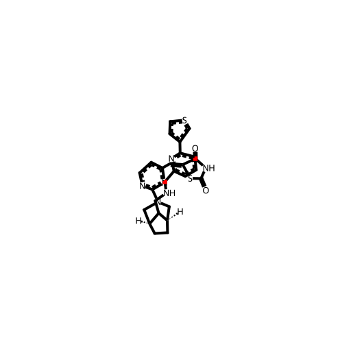 O=C1NC(=O)C(=Cc2ccnc(N3C[C@H]4CC[C@@H](C3)C4CNCc3cccc(-c4ccsc4)n3)n2)S1